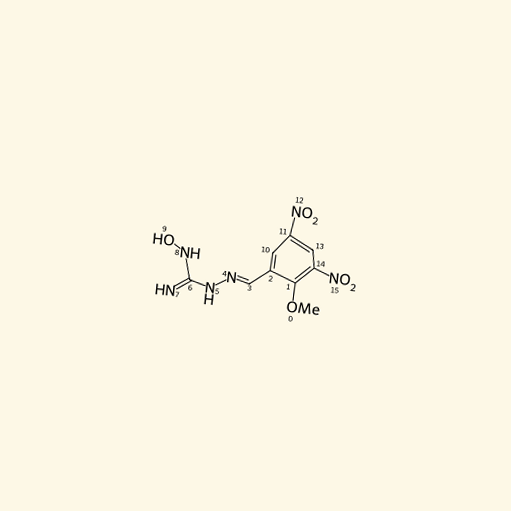 COc1c(/C=N/NC(=N)NO)cc([N+](=O)[O-])cc1[N+](=O)[O-]